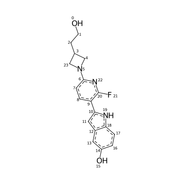 OCCC1CN(c2ccc(-c3cc4cc(O)ccc4[nH]3)c(F)n2)C1